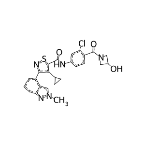 Cn1cc2c(-c3nsc(C(=O)Nc4ccc(C(=O)N5CC(O)C5)c(Cl)c4)c3C3CC3)cccc2n1